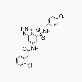 COc1ccc(CNS(=O)(=O)c2cc(NC(=O)Cc3ccccc3Cl)cc3n[nH]cc23)cc1